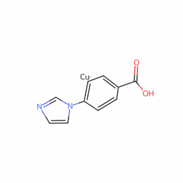 O=C(O)c1ccc(-n2ccnc2)cc1.[Cu]